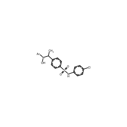 CC(=O)N(O)C(C)c1ccc(S(=O)(=O)Nc2ccc(Cl)cc2)cc1